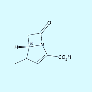 CC1C=C(C(=O)O)N2C(=O)C[C@@H]12